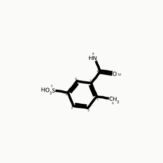 Cc1ccc(S(=O)(=O)O)cc1C([NH])=O